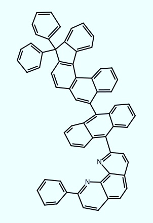 c1ccc(-c2ccc3ccc4ccc(-c5c6ccccc6c(-c6cc7ccc8c(c7c7ccccc67)-c6ccccc6C8(c6ccccc6)c6ccccc6)c6ccccc56)nc4c3n2)cc1